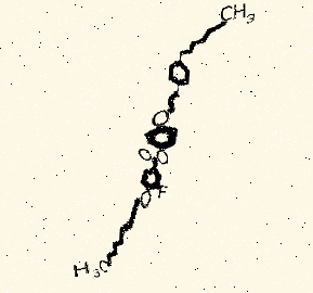 CCCCCCCCCOc1ccc(C(=O)Oc2ccc(OCCC[C@H]3CC[C@H](CCCCCCC)CC3)cc2)cc1F